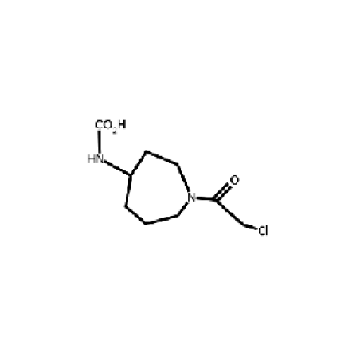 O=C(O)NC1CCCN(C(=O)CCl)CC1